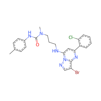 Cc1ccc(NC(=O)N(C)CCCNc2cc(-c3ccccc3Cl)nc3c(Br)cnn23)cc1